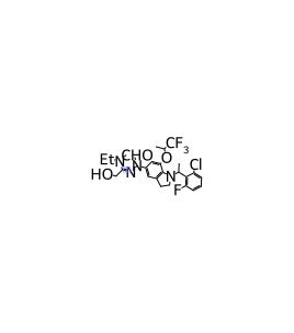 CCN(C=O)/C(CO)=N\N(C)c1cc2c(c(OC(C)C(F)(F)F)c1)N(C(C)c1c(F)cccc1Cl)CC2